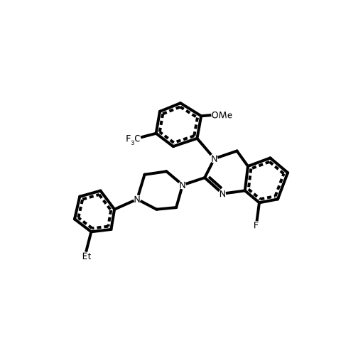 CCc1cccc(N2CCN(C3=Nc4c(F)cccc4CN3c3cc(C(F)(F)F)ccc3OC)CC2)c1